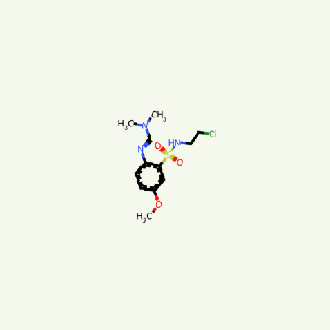 COc1ccc(/N=C/N(C)C)c(S(=O)(=O)NCCCl)c1